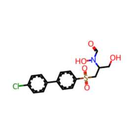 O=CN(O)C(CO)CS(=O)(=O)c1ccc(-c2ccc(Cl)cc2)cc1